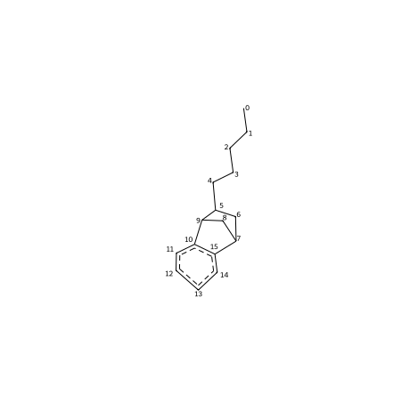 CCCCCC1CC2CC1c1ccccc12